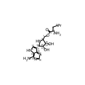 CC(C)C[C@H](N)C(=O)OCC1N[C@@H](c2c[nH]c3c(N)ncnc23)[C@H](O)[C@@H]1O